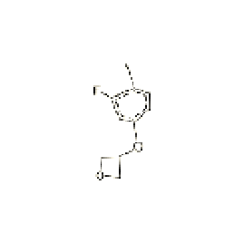 Cc1ccc(OC2COC2)cc1F